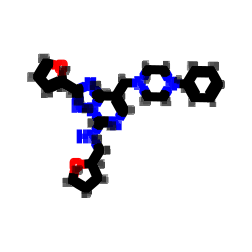 c1ccc(N2CCN(Cc3cnc(NCC4CCCO4)n4nc(-c5ccco5)nc34)CC2)cc1